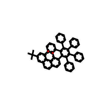 CC(C)(C)c1cc2ccc3ccc(-c4c(-c5ccccc5)c(-c5ccccc5)c(-c5ccccc5)c(-c5ccccc5)c4-c4ccccc4)c4ccc(c1)c2c34